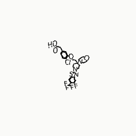 O=C(O)Cc1ccc(Cl)c(OCCC2(N3CCOCC3)CCN(c3nc4cc(F)c(C(F)(F)F)cc4s3)CC2)c1